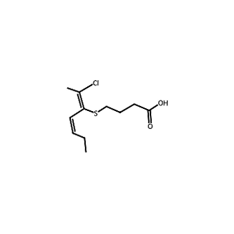 CC/C=C\C(SCCCC(=O)O)=C(/C)Cl